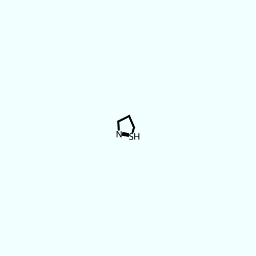 C1CN=[SH]C1